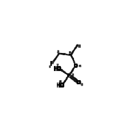 CC(CF)OP(=O)(O)O